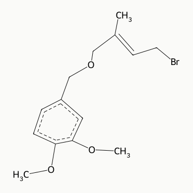 COc1ccc(COCC(C)=CCBr)cc1OC